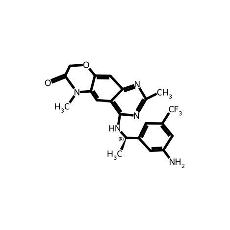 Cc1nc(N[C@H](C)c2cc(N)cc(C(F)(F)F)c2)c2cc3c(cc2n1)OCC(=O)N3C